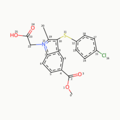 COC(=O)c1ccc2c(c1)c(Sc1ccc(Cl)cc1)c(C)n2CC(=O)O